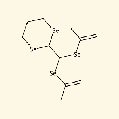 C=C(C)[Se]C([Se]C(=C)C)C1[Se]CCC[Se]1